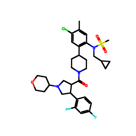 Cc1cc(N(CC2CC2)S(C)(=O)=O)c(C2CCN(C(=O)C3CN(C4CCOCC4)CC3c3ccc(F)cc3F)CC2)cc1Cl